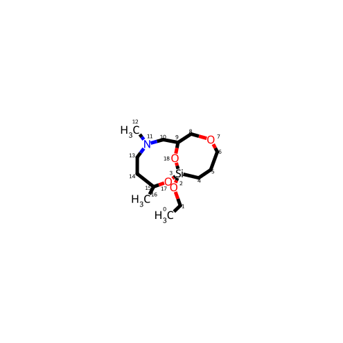 CCO[Si]12CCCOCC(CN(C)CCC(C)O1)O2